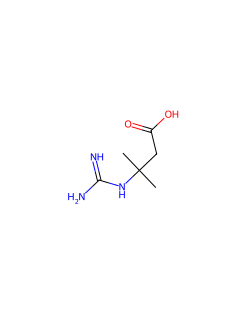 CC(C)(CC(=O)O)NC(=N)N